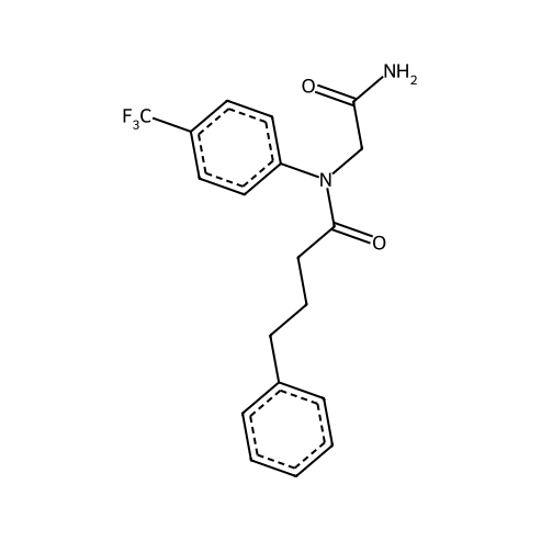 NC(=O)CN(C(=O)CCCc1ccccc1)c1ccc(C(F)(F)F)cc1